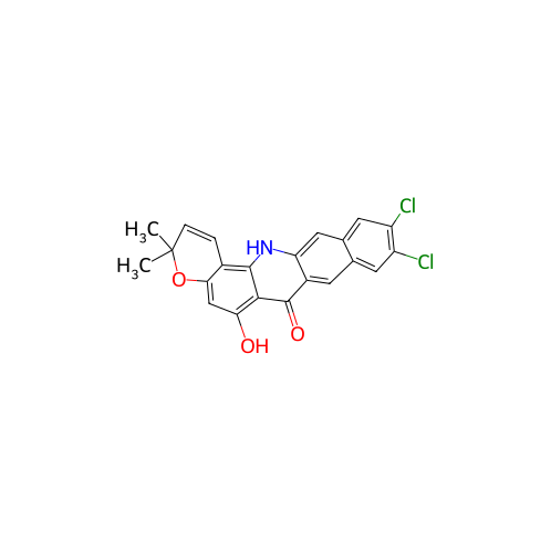 CC1(C)C=Cc2c(cc(O)c3c(=O)c4cc5cc(Cl)c(Cl)cc5cc4[nH]c23)O1